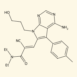 CCN(CC)C(=O)C(C#N)=Cc1c(-c2ccc(C)cc2)c2c(N)ncnc2n1CCCO